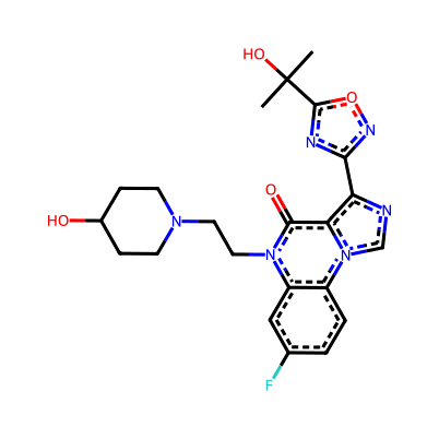 CC(C)(O)c1nc(-c2ncn3c2c(=O)n(CCN2CCC(O)CC2)c2cc(F)ccc23)no1